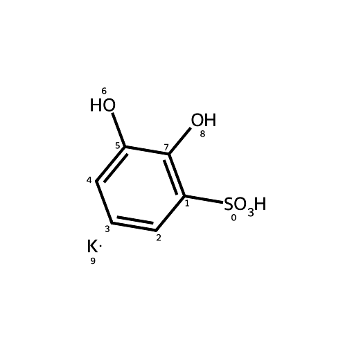 O=S(=O)(O)c1cccc(O)c1O.[K]